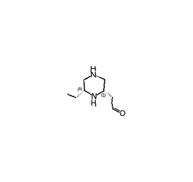 CC[C@@H]1CNC[C@H](CC=O)N1